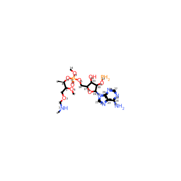 CNCOCC(OC)[C@@H](C)OP(=O)(OC)OCC1OC(n2cnc3c(N)ncnc32)C(OP)C1O